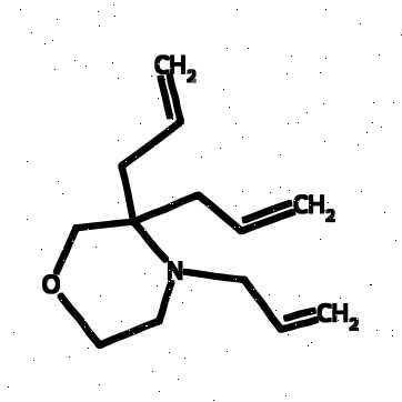 C=CCN1CCOCC1(CC=C)CC=C